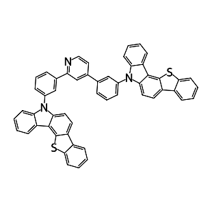 c1cc(-c2ccnc(-c3cccc(-n4c5ccccc5c5c6sc7ccccc7c6ccc54)c3)c2)cc(-n2c3ccccc3c3c4sc5ccccc5c4ccc32)c1